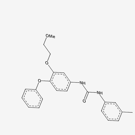 COCCOc1cc(NC(=O)Nc2cccc(C)c2)ccc1Oc1ccccc1